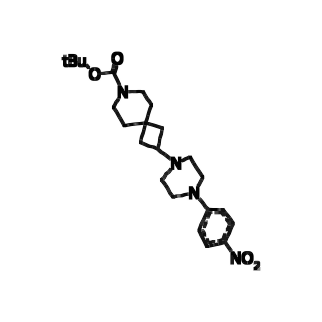 CC(C)(C)OC(=O)N1CCC2(CC1)CC(N1CCN(c3ccc([N+](=O)[O-])cc3)CC1)C2